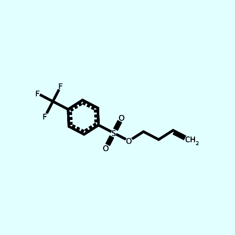 C=CCCOS(=O)(=O)c1ccc(C(F)(F)F)cc1